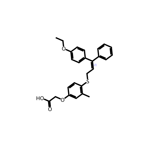 CCOc1ccc(/C(=C\CSc2ccc(OCC(=O)O)cc2C)c2ccccc2)cc1